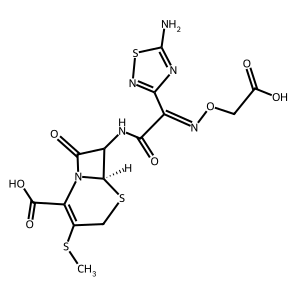 CSC1=C(C(=O)O)N2C(=O)C(NC(=O)/C(=N/OCC(=O)O)c3nsc(N)n3)[C@H]2SC1